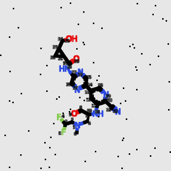 CN(CC(F)F)C[C@@H](C=O)Nc1cc(-c2cnc(NC(=O)C3CC3CO)cn2)cnc1C#N